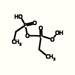 CCP(=O)(O)OP(=O)(CC)OO